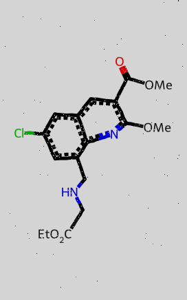 CCOC(=O)CNCc1cc(Cl)cc2cc(C(=O)OC)c(OC)nc12